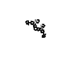 Cc1ccccc1C1=Cc2c(n(-c3ccccn3)c3cc4c(cc23)CCc2cc3c5cc(-c6ccccc6C)ccc5n(-c5ccccn5)c3cc2-4)CC1